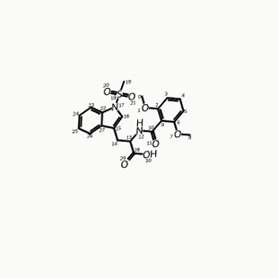 COc1cccc(OC)c1C(=O)NC(Cc1cn(S(C)(=O)=O)c2ccccc12)C(=O)O